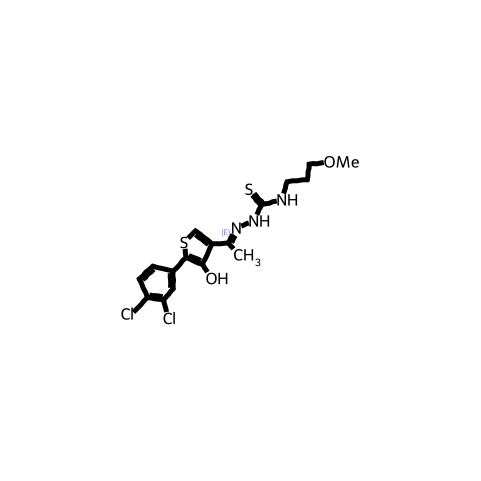 COCCCNC(=S)N/N=C(\C)c1csc(-c2ccc(Cl)c(Cl)c2)c1O